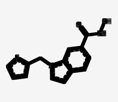 O=C(NO)c1ccc2ccn(Cc3cccs3)c2c1